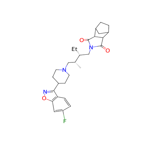 CC[C@H](CN1C(=O)C2C3CCC(C3)C2C1=O)[C@H](C)CN1CCC(c2noc3cc(F)ccc23)CC1